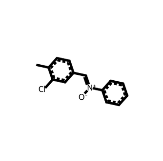 Cc1ccc(C=[N+]([O-])c2ccccc2)cc1Cl